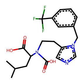 CC(C)CC(C(=O)O)N(CCc1cncn1Cc1cccc(C(F)(F)F)c1)C(=O)O